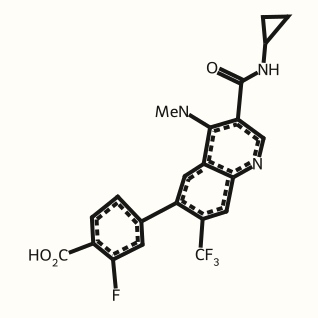 CNc1c(C(=O)NC2CC2)cnc2cc(C(F)(F)F)c(-c3ccc(C(=O)O)c(F)c3)cc12